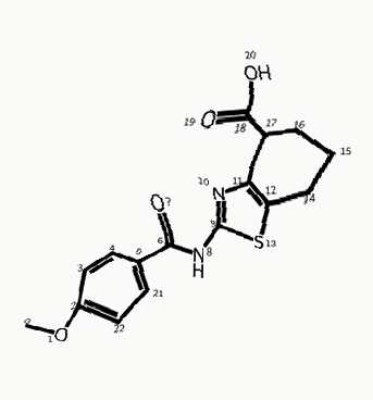 COc1ccc(C(=O)Nc2nc3c(s2)CCCC3C(=O)O)cc1